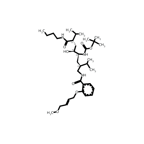 CCCCNC(=O)[C@@H](C[C@H](O)[C@H](C[C@H](CNC(=O)c1ccccc1OCC=CCOC)C(C)C)NC(=O)OC(C)(C)C)C(C)C